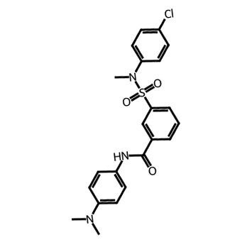 CN(C)c1ccc(NC(=O)c2cccc(S(=O)(=O)N(C)c3ccc(Cl)cc3)c2)cc1